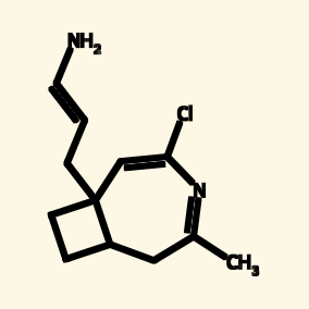 CC1=NC(Cl)=CC2(C/C=C/N)CCC2C1